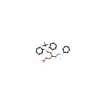 COC(=O)C(O)CC(CCNc1ccccc1)CC[Si](c1ccccc1)(c1ccccc1)C(C)(C)C